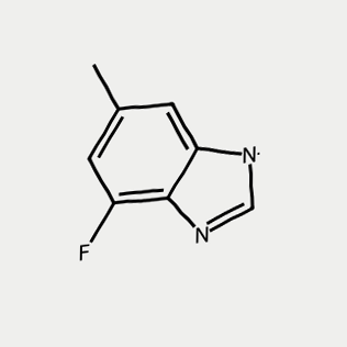 Cc1cc(F)c2c(c1)[N]C=N2